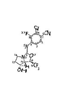 N#Cc1ccc(/N=C2\O[C@@H](C(F)(F)F)[C@@H]3[C@H](O)CCN23)c(F)c1Cl